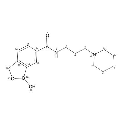 O=C(NCCCN1CCCCC1)c1ccc2c(c1)B(O)OC2